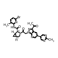 CC(=O)c1nn(CC(=O)N2C[C@H]3C[C@H]3[C@H]2C(=O)Nc2nc(Br)ccc2C)c2ncc(-c3cnc(C)nc3)cc12